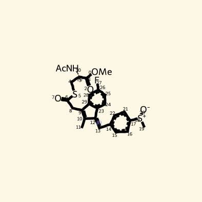 COC(=O)[C@H](CSC(=O)CC1=C(C)/C(=C/c2ccc([S+](C)[O-])cc2)c2ccc(F)cc21)NC(C)=O